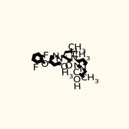 CC(C)C[C@@H](C(=O)Nc1ccn(CC(C)(C)O)n1)n1ncc(Oc2c(F)cccc2F)cc1=O